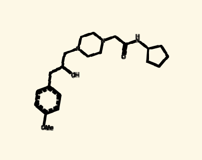 COc1ccc(CC(O)CN2CCN(CC(=O)NC3CCCC3)CC2)cc1